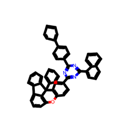 c1ccc(-c2ccc(-c3nc(-c4ccc5c(c4)C4(c6ccccc6)c6ccccc6-c6cccc(c64)O5)nc(-c4cccc5ccccc45)n3)cc2)cc1